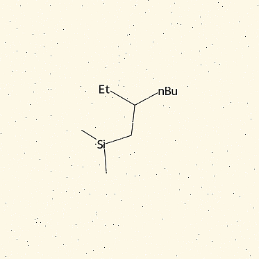 CCCCC(CC)C[Si](C)C